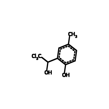 Cc1ccc(O)c(C(O)C(Cl)(Cl)Cl)c1